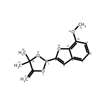 C=C1OB(c2cc3cccc(OC)c3o2)OC1(C)C